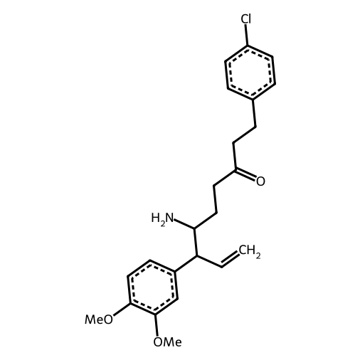 C=CC(c1ccc(OC)c(OC)c1)C(N)CCC(=O)CCc1ccc(Cl)cc1